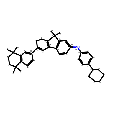 CC1(C)CCC(C)(C)c2cc(C3=CC4=C(CC3)C(C)(C)c3cc(Nc5ccc(C6CCCCC6)cc5)ccc34)ccc21